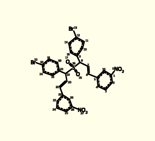 O=[N+]([O-])c1cccc(C=CC(c2ccc(Br)cc2)S(=O)(=O)C(C=Cc2cccc([N+](=O)[O-])c2)c2ccc(Br)cc2)c1